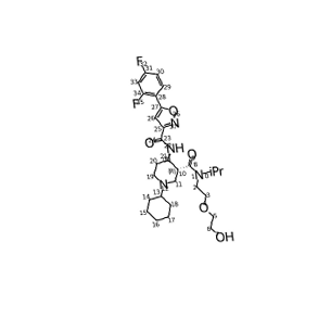 CC(C)N(CCOCCO)C(=O)[C@@H]1CN(C2CCCCC2)CC[C@H]1NC(=O)c1cc(-c2ccc(F)cc2F)on1